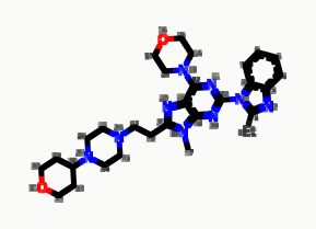 CCc1nc2ccccc2n1-c1nc(N2CCOCC2)c2nc(CCN3CCN(C4CCOCC4)CC3)n(C)c2n1